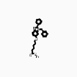 CC(C)OC(=O)CCCCCOc1ccc2nc(-c3ccccc3)n(Cc3ccccc3)c2c1